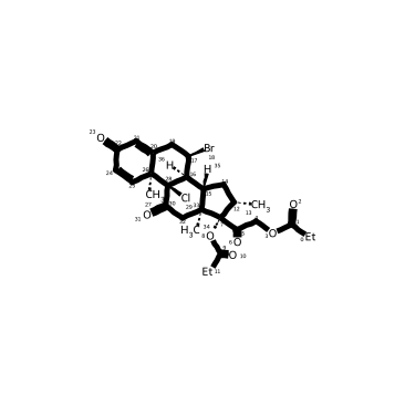 CCC(=O)OCC(=O)[C@]1(OC(=O)CC)[C@@H](C)C[C@H]2[C@@H]3[C@H](Br)CC4=CC(=O)C=C[C@]4(C)[C@@]3(Cl)C(=O)C[C@@]21C